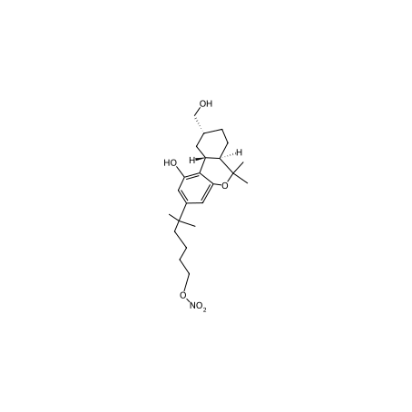 CC(C)(CCCCO[N+](=O)[O-])c1cc(O)c2c(c1)OC(C)(C)[C@@H]1CC[C@@H](CO)C[C@@H]21